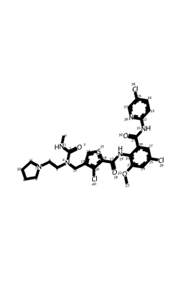 CNC(=O)N(CCN1CCCC1)Cc1csc(C(=O)Nc2c(OC)cc(Cl)cc2C(=O)Nc2ccc(Cl)cn2)c1Cl